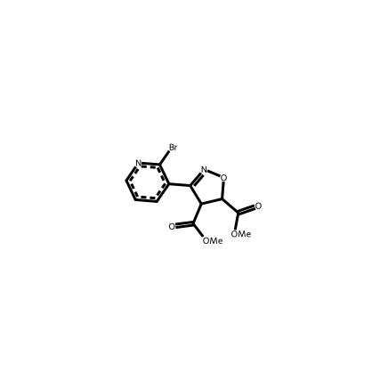 COC(=O)C1ON=C(c2cccnc2Br)C1C(=O)OC